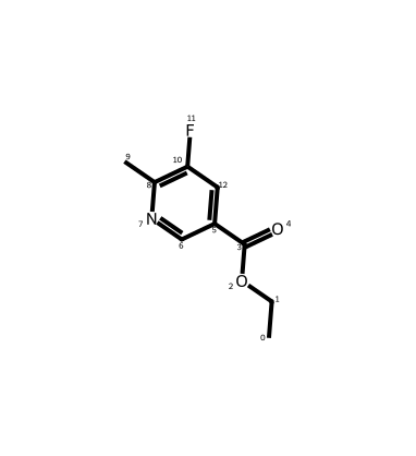 CCOC(=O)c1cnc(C)c(F)c1